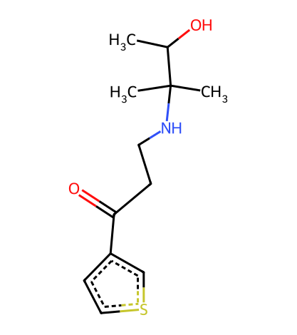 CC(O)C(C)(C)NCCC(=O)c1ccsc1